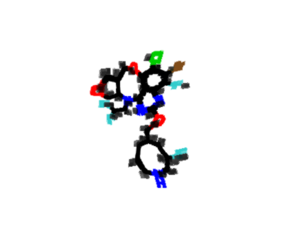 Fc1c(Br)c(Cl)c2c3c(nc(OC[C@@H]4CCCNC[C@H](F)C4)nc13)N(CC(F)F)C1COCC1CO2